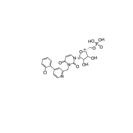 O=c1ccn([C@@H]2O[C@H](COP(=O)(O)O)C(O)C2O)c(=O)n1Cc1cc(-c2ccccc2Cl)ccn1